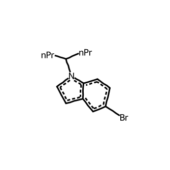 CCCC(CCC)n1ccc2cc(Br)ccc21